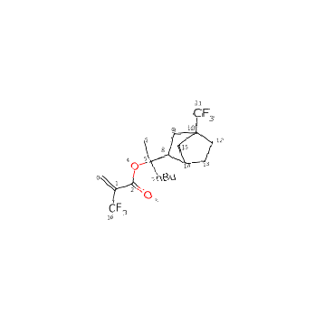 C=C(C(=O)OC(C)(CCCC)C1CC2(C(F)(F)F)CCC1C2)C(F)(F)F